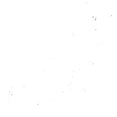 CC1c2cc(N(C)C)ccc2C(=O)c2ccc(N(C)C)cc21